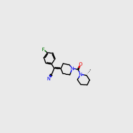 C[C@@H]1CCCCN1C(=O)N1CCC(=C(C#N)c2ccc(F)cc2)CC1